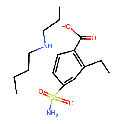 CCCCNCCC.CCc1cc(S(N)(=O)=O)ccc1C(=O)O